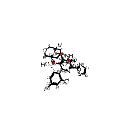 NS(=O)(=O)N[C@@H]1C[C@H]2COC[C@@H](C1)N2CC1=C(C(=O)O)[C@H](c2ccc(F)cc2Cl)N=C(c2nccs2)N1